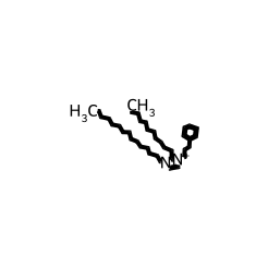 CCCCCCCCCCCCCCCn1cc[n+](CCCc2ccccc2)c1CCCCCCCCCCC